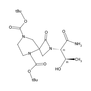 C[C@@H](O)[C@@H](C(N)=O)N1CC2(CN(C(=O)OC(C)(C)C)CCN2C(=O)OC(C)(C)C)C1=O